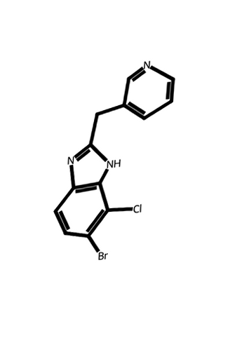 Clc1c(Br)ccc2nc(Cc3cccnc3)[nH]c12